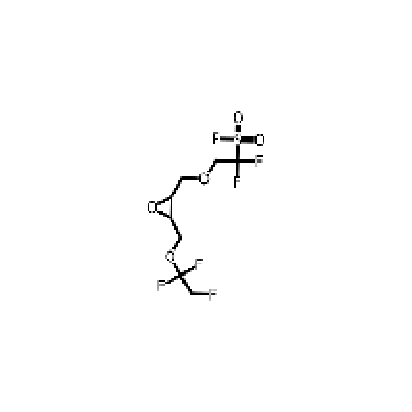 O=S(=O)(F)C(F)(F)COCC1OC1COC(F)(F)CF